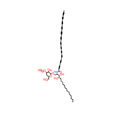 CC#CC#CC#CC#CC#CC#CC#CC#CC#CC#CC#CC#CC(=O)NC(COC1OC(CO)CC(OOO)C1O)[C@H](O)[C@H](O)CCCCCCCCCCCCCC